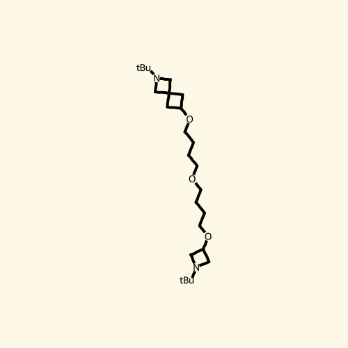 CC(C)(C)N1CC(OCCCCOCCCCOC2CC3(C2)CN(C(C)(C)C)C3)C1